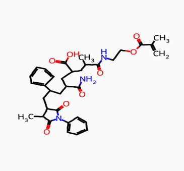 C=C(C)C(=O)OCCNC(=O)C(C)CC(CC(CC(CC1C(=O)N(c2ccccc2)C(=O)C1C)c1ccccc1)C(N)=O)C(=O)O